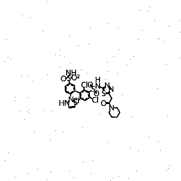 NS(=O)(=O)c1ccc(N2NC=CS2)c(-c2c(Cl)cc(Cl)c(S(=O)(=O)Nc3nnc(CC(=O)N4CCCCC4)s3)c2Cl)c1